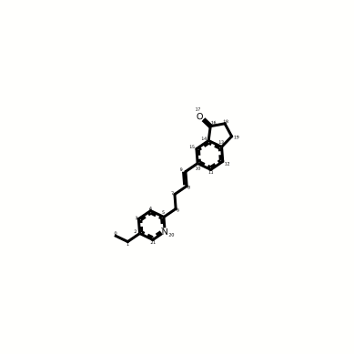 CCc1ccc(CC/C=C/c2ccc3c(c2)C(=O)CC3)nc1